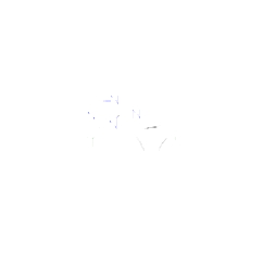 CN1C=NC(Nc2ccc(F)c(Cl)c2)=NC1Cl